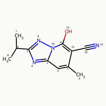 Cc1cc2nc(C(C)C)nn2c(O)c1C#N